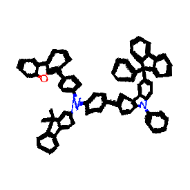 CC1(C)c2ccccc2-c2ccc(N(c3ccc(-c4ccc5c(c4)c4cc(C6(c7ccccc7)c7ccccc7-c7ccccc76)ccc4n5-c4ccccc4)cc3)c3ccc(-c4cccc5c4oc4ccccc45)cc3)cc21